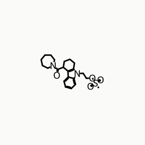 CS(=O)(=O)OCCn1c2c(c3ccccc31)C(C(=O)N1CCCCCC1)CCC2